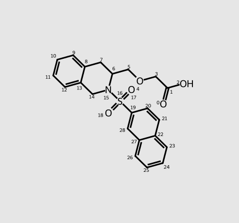 O=C(O)COCC1Cc2ccccc2CN1S(=O)(=O)c1ccc2ccccc2c1